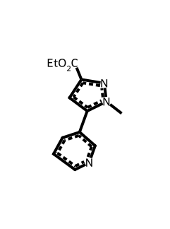 CCOC(=O)c1cc(-c2cccnc2)n(C)n1